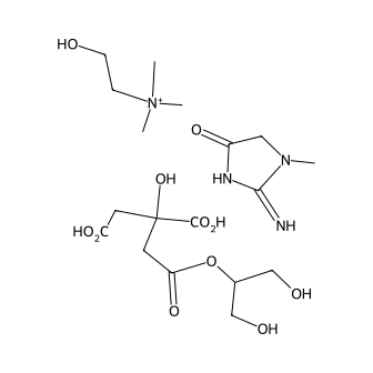 CN1CC(=O)NC1=N.C[N+](C)(C)CCO.O=C(O)CC(O)(CC(=O)OC(CO)CO)C(=O)O